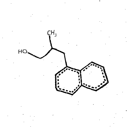 CC([CH]c1cccc2ccccc12)CO